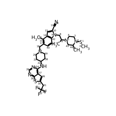 CSN1CCN(C(C)Cn2c(C#N)cc3c(C)c(CN4CCC(Nc5ncnc6sc(CC(F)(F)F)cc56)CC4)ccc32)CC1C